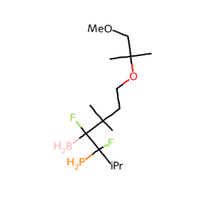 BC(F)(C(C)(C)CCOC(C)(C)COC)C(F)(P)C(C)C